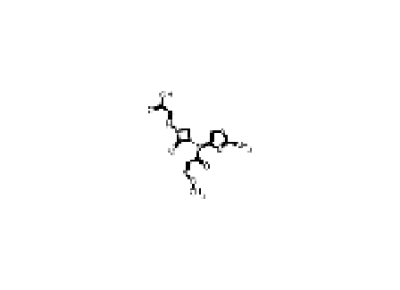 CO/N=C\C(=O)N(c1csc(N)n1)[C@H]1CN(N=CC(=O)O)C1=O